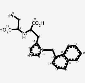 CC(C)CC(NC(Cc1cncn1Cc1cccc2ccccc12)C(=O)O)C(=O)O